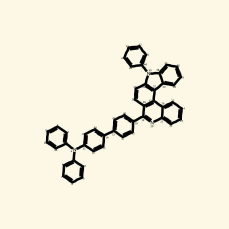 c1ccc(N(c2ccccc2)c2ccc(-c3ccc(-c4nc5ccccc5c5c4ccc4c5c5ccccc5n4-c4ccccc4)cc3)cc2)cc1